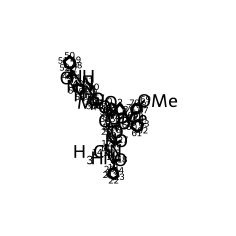 COc1ccc(C(OC[C@H]2O[C@@H](n3cc(C)c(NC(=O)c4ccccc4)nc3=O)C[C@H]2OP(=O)(CO[C@@H]2[CH]C[C@H](n3cnc4c(NC(=O)c5ccccc5)ncnc43)O2)OC)(c2ccccc2)c2ccc(OC)cc2)cc1